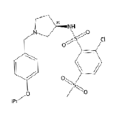 CC(C)Oc1ccc(CN2CC[C@@H](NS(=O)(=O)c3cc(S(C)(=O)=O)ccc3Cl)C2)cc1